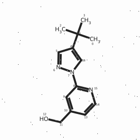 CC(C)(C)c1cnn(-c2cc(CO)ccn2)c1